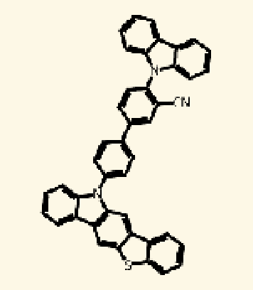 N#Cc1cc(-c2ccc(-n3c4ccccc4c4cc5sc6ccccc6c5cc43)cc2)ccc1-n1c2ccccc2c2ccccc21